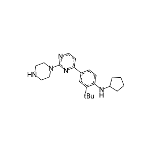 CC(C)(C)c1cc(-c2ccnc(N3CCNCC3)n2)ccc1NC1CCCC1